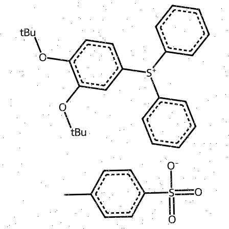 CC(C)(C)Oc1ccc([S+](c2ccccc2)c2ccccc2)cc1OC(C)(C)C.Cc1ccc(S(=O)(=O)[O-])cc1